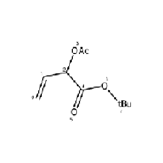 C=CC(OC(C)=O)C(=O)OC(C)(C)C